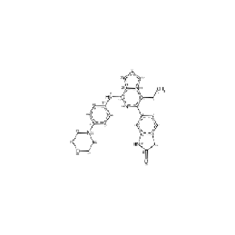 CCc1c(-c2ccc3c(c2)NC(=O)C3)nc(Nc2ccc(N3CCOCC3)cc2)c2cccn12